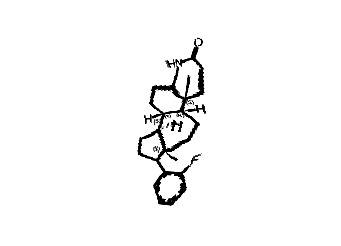 C[C@]12C=CC(=O)NC1CC[C@@H]1[C@H]2CC[C@]2(C)C(c3ccccc3F)CC[C@@H]12